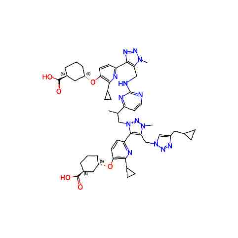 CC(C[n+]1nn(C)c(Cn2cc(CC3CC3)nn2)c1-c1ccc(O[C@H]2CCC[C@H](C(=O)O)C2)c(C2CC2)n1)c1ccnc(NCc2c(-c3ccc(O[C@H]4CCC[C@H](C(=O)O)C4)c(C4CC4)n3)nnn2C)n1